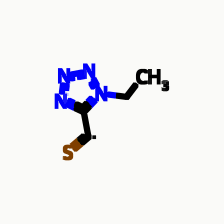 CCn1nnnc1[C]=S